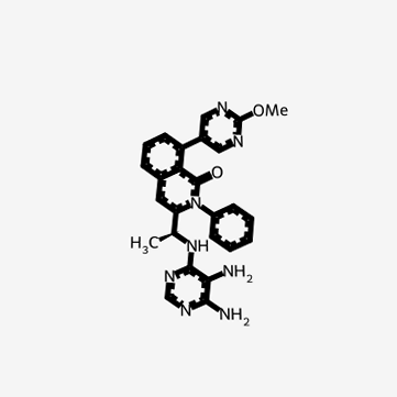 COc1ncc(-c2cccc3cc([C@H](C)Nc4ncnc(N)c4N)n(-c4ccccc4)c(=O)c23)cn1